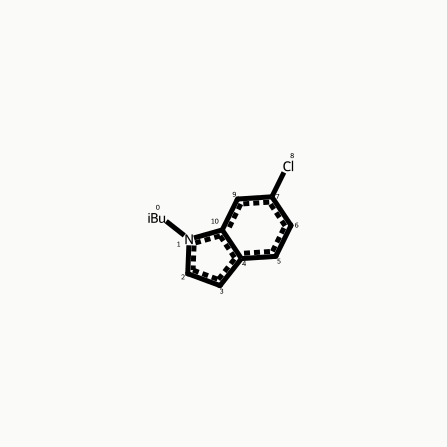 C[CH]C(C)n1ccc2ccc(Cl)cc21